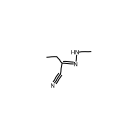 CC/C(C#N)=N\NC